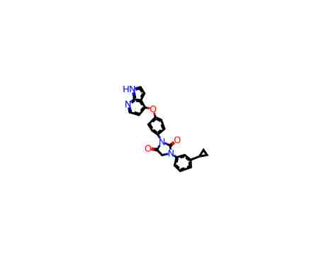 O=C1CN(c2cccc(C3CC3)c2)C(=O)N1c1ccc(Oc2ccnc3[nH]ccc23)cc1